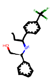 CCC(N[C@H](CO)c1ccccc1)c1ccc(C(F)(F)F)cc1